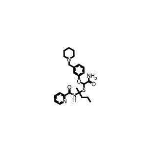 CCCC(C)(NC(=O)c1ccccn1)SC(Oc1cccc(CN2CCCCC2)c1)C(N)=O